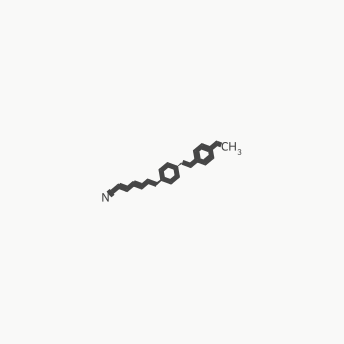 CCc1ccc(CC[C@H]2CC[C@H](CC/C=C/C=C/C#N)CC2)cc1